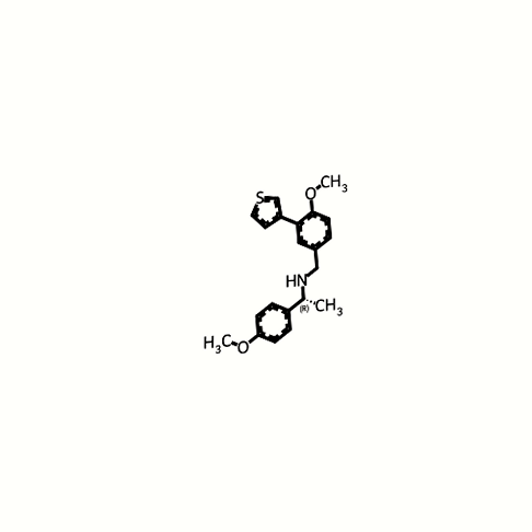 COc1ccc([C@@H](C)NCc2ccc(OC)c(-c3ccsc3)c2)cc1